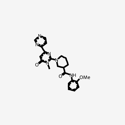 COc1ccccc1NC(=O)C1CCCN(c2nc(-c3ccncn3)cc(=O)n2C)C1